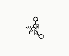 CCOC(OCC)c1cc(-c2ccccc2)nnc1NCCN1CCCCC1